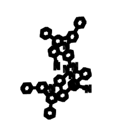 N#Cc1ccccc1-c1ccccc1-c1nc(-c2ccc(-n3c4ccc(-c5ccccc5)cc4c4cc(-c5ccccc5)ccc43)c(-c3ccccc3C#N)c2)nc(-c2ccc(-n3c4ccc(-c5ccccc5)cc4c4cc(-c5ccccc5)ccc43)c(-c3ccccc3C#N)c2)n1